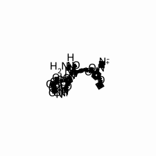 [N-]=[N+]=NCOC1C[C@H](n2cc(C#CCOC(=O)c3ccc(OC4CCC4)cc3CN=[N+]=[N-])c3c(=O)[nH]c(N)nc32)O[C@@H]1COP(=O)(O)OP(=O)(O)OP(=O)(O)O